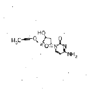 CC#COC[C@H]1O[C@@H](n2ccc(N)nc2=O)CC1O